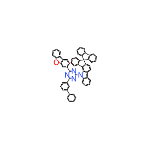 c1ccc(-c2cccc(-c3nc(-c4ccc5c(c4)oc4ccccc45)nc(-n4c5ccccc5c5ccc6c(c54)-c4ccccc4C64c5ccccc5-c5ccccc54)n3)c2)cc1